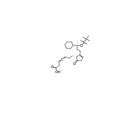 CC(C)(C)[Si](C)(C)O[C@@](C)(CCC1=CCC(=O)[C@@H]1CCC=C=CCC(=O)O)C1CCCCC1